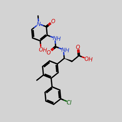 Cc1ccc([C@H](CC(=O)O)NC(=O)Nc2c(O)ccn(C)c2=O)cc1-c1cccc(Cl)c1